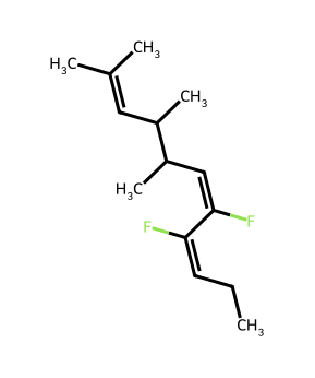 CC/C=C(F)\C(F)=C/C(C)C(C)C=C(C)C